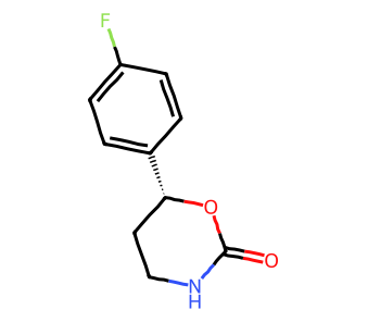 O=C1NCC[C@H](c2ccc(F)cc2)O1